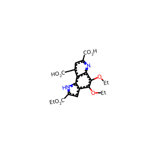 CCOC(=O)c1cc2c(OCC)c(OCC)c3nc(C(=O)O)cc(C(=O)O)c3c2[nH]1